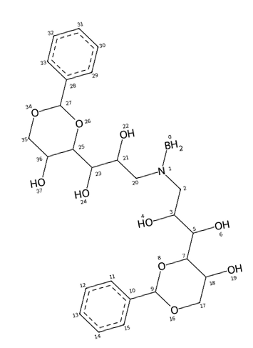 BN(CC(O)C(O)C1OC(c2ccccc2)OCC1O)CC(O)C(O)C1OC(c2ccccc2)OCC1O